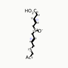 CC(=O)CSC/C=C/C[S+]([O-])C/C=C/CC(=O)O